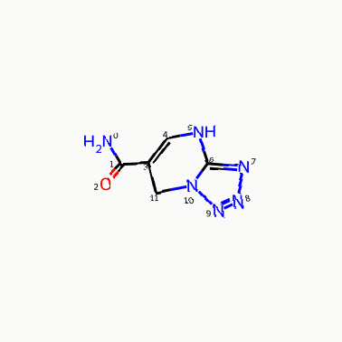 NC(=O)C1=CNc2nnnn2C1